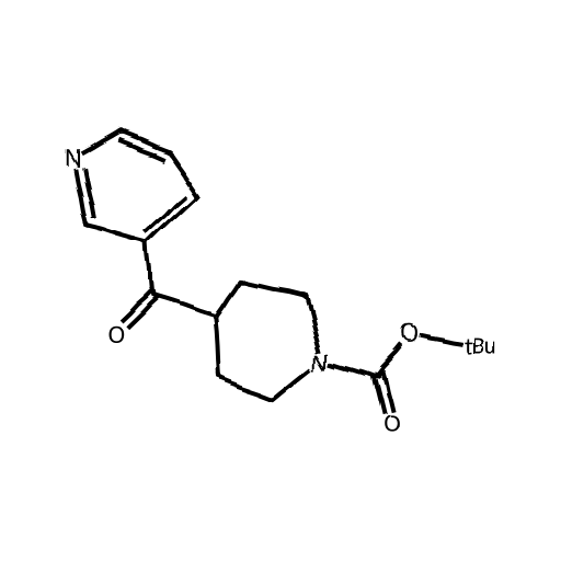 CC(C)(C)OC(=O)N1CCC(C(=O)c2cccnc2)CC1